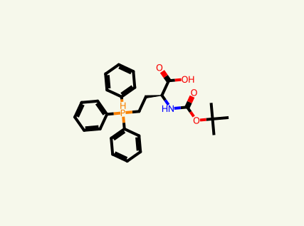 CC(C)(C)OC(=O)N[C@@H](CC[PH](c1ccccc1)(c1ccccc1)c1ccccc1)C(=O)O